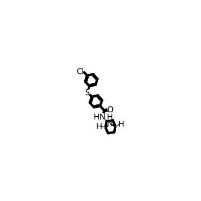 O=C(N[C@@H]1C[C@H]2CC[C@@H]1N2)c1ccc(Sc2cccc(Cl)c2)cc1